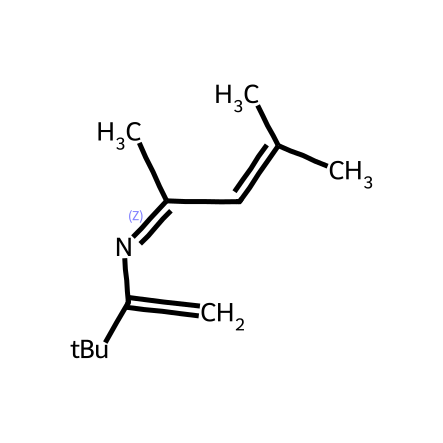 C=C(/N=C(/C)C=C(C)C)C(C)(C)C